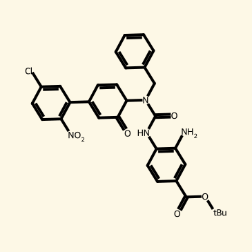 CC(C)(C)OC(=O)c1ccc(NC(=O)N(Cc2ccccc2)C2C=CC(c3cc(Cl)ccc3[N+](=O)[O-])=CC2=O)c(N)c1